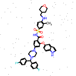 Cc1cc(S(=O)(=O)NC(=O)c2ccc(N3CCN(C(c4ccc(F)cc4)c4ccc(F)cc4)CC3)cc2Oc2ccc3[nH]ccc3c2)ccc1NCC1CCOCC1